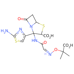 CC(C)(O/N=C\C(=O)NC1(c2csc(N)n2)C(C(=O)O)SC2CC(=O)N21)C(=O)O